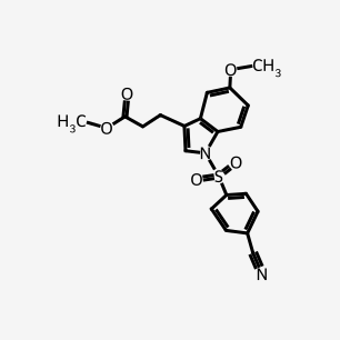 COC(=O)CCc1cn(S(=O)(=O)c2ccc(C#N)cc2)c2ccc(OC)cc12